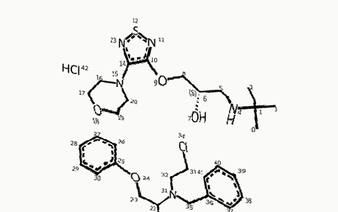 CC(C)(C)NC[C@H](O)COc1nsnc1N1CCOCC1.CC(COc1ccccc1)N(CCCl)Cc1ccccc1.Cl